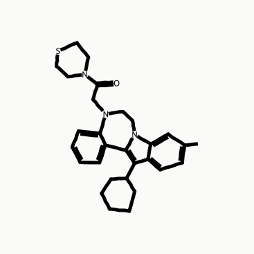 Cc1ccc2c(C3CCCCC3)c3n(c2c1)CCN(CC(=O)N1CCSCC1)c1ccccc1-3